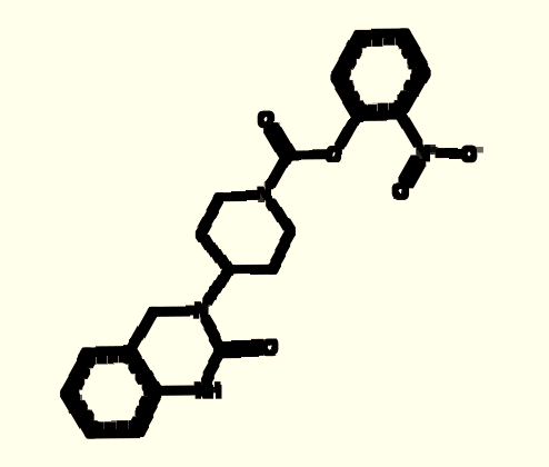 O=C(Oc1ccccc1[N+](=O)[O-])N1CCC(N2Cc3ccccc3NC2=O)CC1